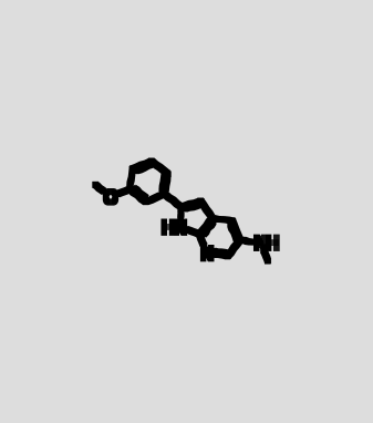 CNc1cnc2[nH]c(-c3cccc(OC)c3)cc2c1